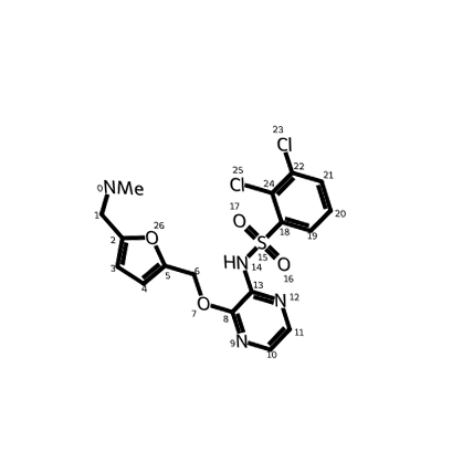 CNCc1ccc(COc2nccnc2NS(=O)(=O)c2cccc(Cl)c2Cl)o1